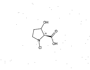 O=C(O)[C@@H]1C(O)CCN1Cl